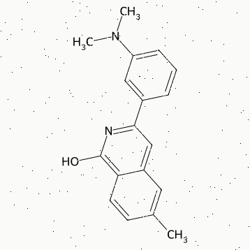 Cc1ccc2c(O)nc(-c3cccc(N(C)C)c3)cc2c1